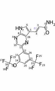 NC(=O)/C=C/c1c[nH]c2ncc(-c3cc(OC(F)(F)F)cc(C(F)(F)F)c3)nc12